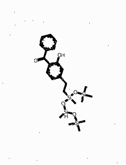 C[SiH](O[Si](C)(C)C)O[Si](C)(CCc1ccc(C(=O)c2ccccc2)c(O)c1)O[Si](C)(C)C